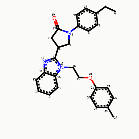 CCc1ccc(N2CC(c3nc4ccccc4n3CCOc3ccc(C)cc3)CC2=O)cc1